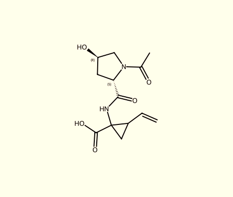 C=CC1CC1(NC(=O)[C@@H]1C[C@@H](O)CN1C(C)=O)C(=O)O